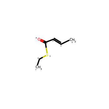 CC=CC(=O)SCC